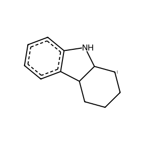 [C]1CCCC2c3ccccc3NC12